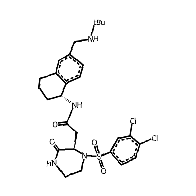 CC(C)(C)NCc1ccc2c(c1)CCC[C@H]2NC(=O)C[C@@H]1C(=O)NCCN1S(=O)(=O)c1ccc(Cl)c(Cl)c1